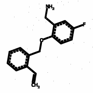 C=Cc1ccccc1COc1ccc(F)cc1CN